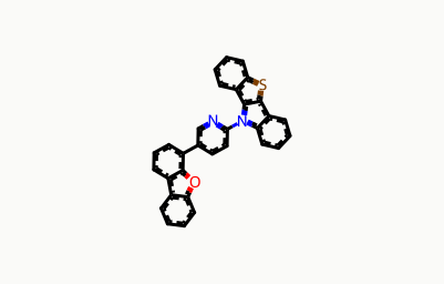 c1ccc2c(c1)oc1c(-c3ccc(-n4c5ccccc5c5sc6ccccc6c54)nc3)cccc12